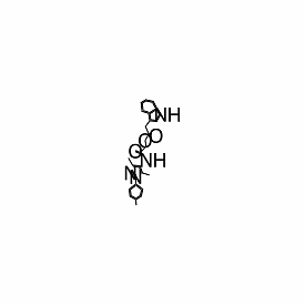 Cc1ccc(-n2nc(C)c(NC(=O)COC(=O)Cc3c[nH]c4ccccc34)c2C)cc1